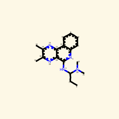 CCC(Nc1nc2ccccc2c2nc(C)c(C)nc12)N(C)C